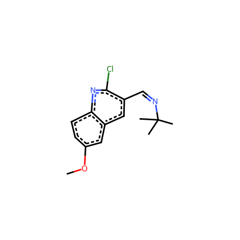 COc1ccc2nc(Cl)c(/C=N\C(C)(C)C)cc2c1